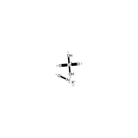 CC(=O)[O-].[K+].[O]=[Cr](=[O])([OH])[OH]